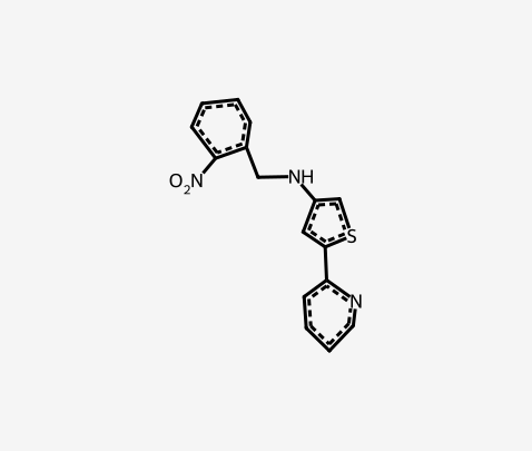 O=[N+]([O-])c1ccccc1CNc1csc(-c2ccccn2)c1